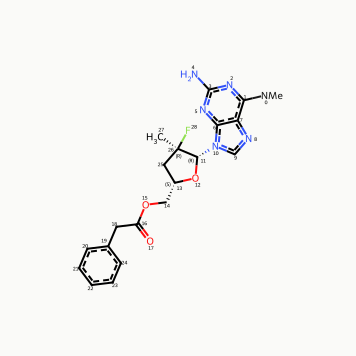 CNc1nc(N)nc2c1ncn2[C@@H]1O[C@H](COC(=O)Cc2ccccc2)C[C@@]1(C)F